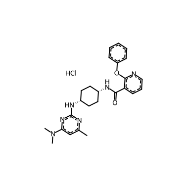 Cc1cc(N(C)C)nc(N[C@H]2CC[C@@H](NC(=O)c3cccnc3Oc3ccccc3)CC2)n1.Cl